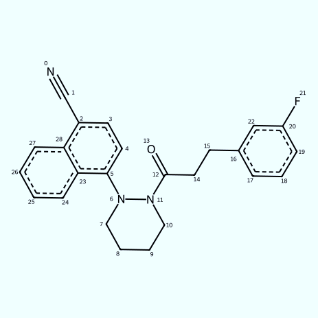 N#Cc1ccc(N2CCCCN2C(=O)CCc2cccc(F)c2)c2ccccc12